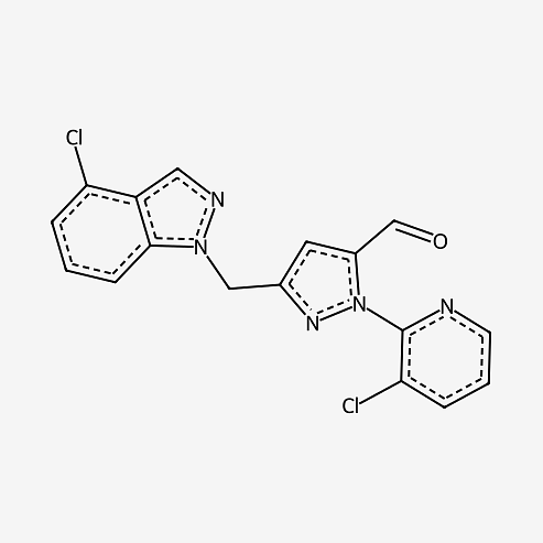 O=Cc1cc(Cn2ncc3c(Cl)cccc32)nn1-c1ncccc1Cl